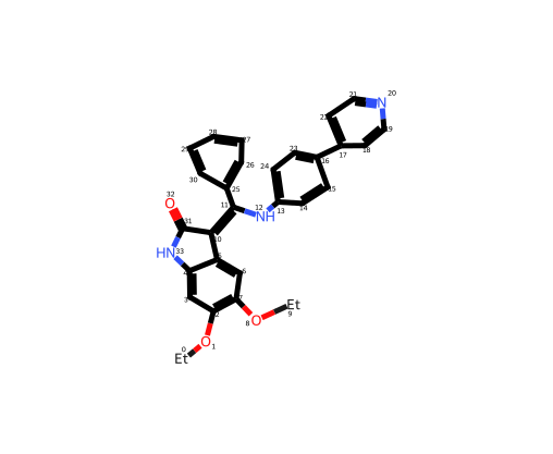 CCOc1cc2c(cc1OCC)C(=C(Nc1ccc(-c3ccncc3)cc1)c1ccccc1)C(=O)N2